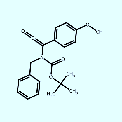 COc1ccc(C(=C=O)N(Cc2ccccc2)C(=O)OC(C)(C)C)cc1